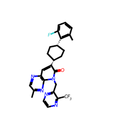 Cc1cnc2cc([C@H]3CC[C@@H](c4c(C)cccc4F)CC3)c(=O)n(Cc3nccnc3C(F)(F)F)c2n1